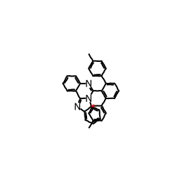 Cc1ccc(-c2cccc(-c3ccc(C)cc3)c2-c2nc3ccccc3c3nc4ccccc4n23)cc1